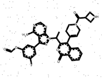 CC(c1oc(=O)c2ccccc2c1C1=CCN(C(=O)C2CNC2)CC1)n1nc(-c2cc(F)cc(OC=O)c2)c2c(N)ncnc21